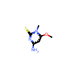 COc1cc(N)nc(=S)n1C